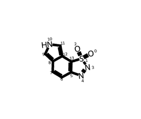 O=S1(=O)N=Nc2ccc3c[nH]cc3c21